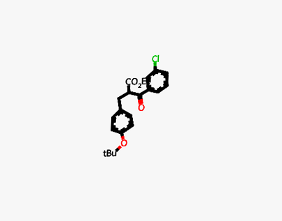 CCOC(=O)C(Cc1ccc(OC(C)(C)C)cc1)C(=O)c1cccc(Cl)c1